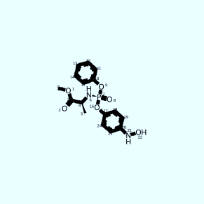 COC(=O)[C@H](C)N[P@@](=O)(Oc1ccccc1)Oc1ccc(NO)cc1